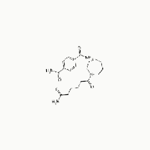 NC(=O)CCCCC(=O)N1CCCCCC1.NC(=O)c1ccc(C(N)=O)cc1